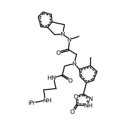 Cc1ccc(-c2n[nH]c(=O)o2)cc1N(CC(=O)NCCNC(C)C)CC(=O)N(C)N1Cc2ccccc2C1